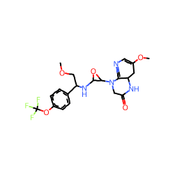 COCC(NC1OC1N1CC(=O)NC2CC(OC)=CN=C21)c1ccc(OC(F)(F)F)cc1